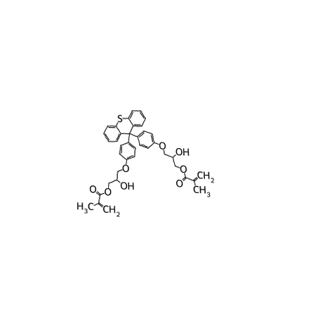 C=C(C)C(=O)OCC(O)COc1ccc(C2(c3ccc(OCC(O)COC(=O)C(=C)C)cc3)c3ccccc3Sc3ccccc32)cc1